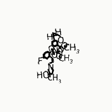 COC(=O)c1c(N(C(=O)OC)S(=O)(=O)c2ccc(F)cc2/C=C\CN2CCC(C)(O)C2)ccc2c1OC[C@@H]1C[C@H]21